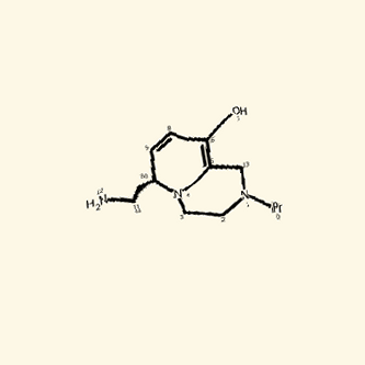 CC(C)N1CCN2C(=C(O)C=CC2CN)C1